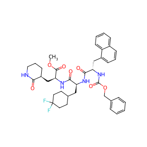 COC(=O)[C@H](C[C@@H]1CCCNC1=O)NC(=O)[C@H](CC1CCC(F)(F)CC1)NC(=O)[C@H](Cc1cccc2ccccc12)NC(=O)OCc1ccccc1